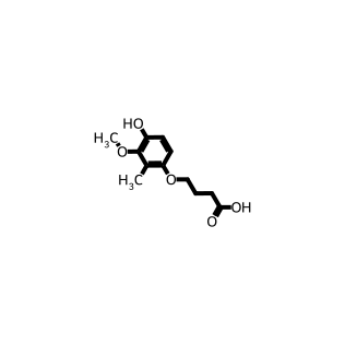 COc1c(O)ccc(OCCCC(=O)O)c1C